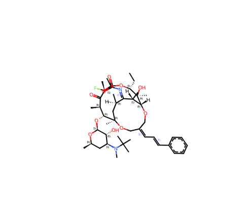 CC[C@H]1OC(=O)[C@@](C)(F)C(=O)[C@H](C)[C@@H](O[C@@H]2O[C@H](C)C[C@H](N(C)C(C)(C)C)[C@H]2O)[C@@]2(C)C[C@@H](C)/C(=N\C(C)=O)[C@H](C)[C@@H](OC/C(=C\C=C\c3ccccc3)CO2)[C@]1(C)O